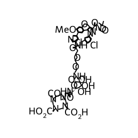 COc1cc2c(cc1-c1cncc(NC(=O)CCOCCOCCNC(=O)[C@H]3O[C@@H](CNC(=O)CN4CCN(CC(=O)O)CCN(CC(=O)O)CCN(CC(=O)O)CC4)[C@H](O)[C@@H](O)[C@H]3O)c1)-c1c(c(C(=O)N3CCOCC3(C)C)nn1-c1cc(Cl)cc(Cl)c1)CO2